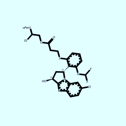 CCCCCC(CC)COC(=O)CCSc1cccc(OC(F)F)c1[C@H]1C[C@H](O)c2nc3ccc(Cl)cc3n21